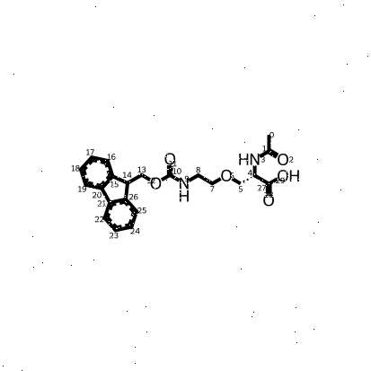 CC(=O)N[C@@H](COCCNC(=O)OCC1c2ccccc2-c2ccccc21)C(=O)O